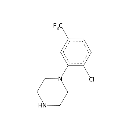 FC(F)(F)c1ccc(Cl)c(N2CCNCC2)c1